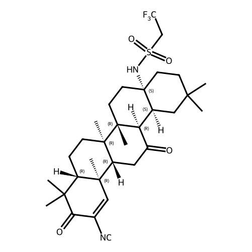 [C-]#[N+]C1=C[C@]2(C)[C@H]3CC(=O)[C@@H]4[C@@H]5CC(C)(C)CC[C@]5(NS(=O)(=O)CC(F)(F)F)CC[C@@]4(C)[C@]3(C)CC[C@H]2C(C)(C)C1=O